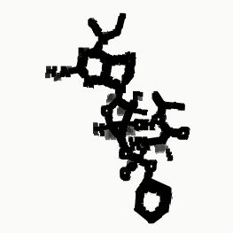 CCN(C)c1nc(N)nc2c1ncn2[C@@H]1O[C@@H]2C(O[P@](=O)(N[C@@H](C)C(=O)OC(C)C)Oc3ccccc3)[C@]2(O)[C@@]1(C)F